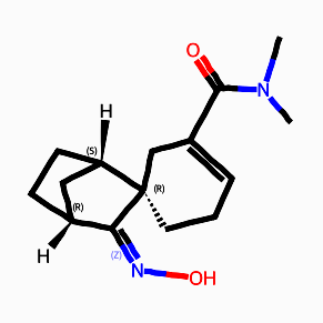 CN(C)C(=O)C1=CCC[C@]2(C1)/C(=N\O)[C@@H]1CC[C@H]2C1